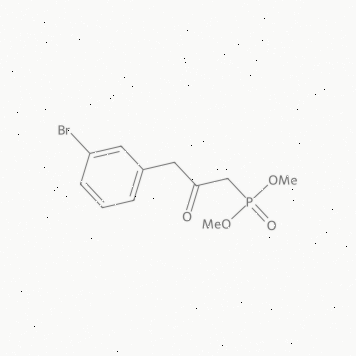 COP(=O)(CC(=O)Cc1cccc(Br)c1)OC